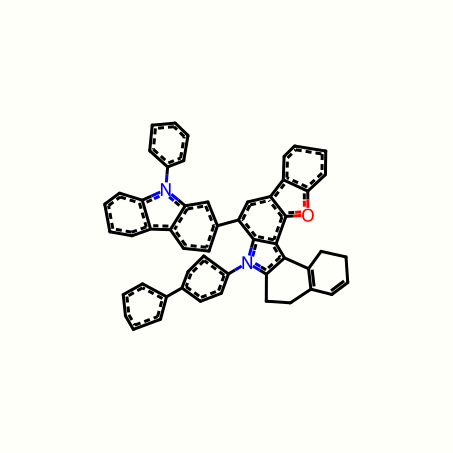 C1=CC2=C(CC1)c1c(n(-c3ccc(-c4ccccc4)cc3)c3c(-c4ccc5c6ccccc6n(-c6ccccc6)c5c4)cc4c5ccccc5oc4c13)CC2